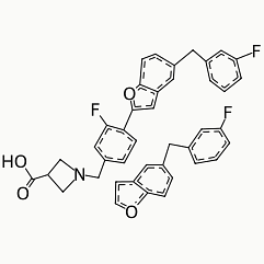 Fc1cccc(Cc2ccc3occc3c2)c1.O=C(O)C1CN(Cc2ccc(-c3cc4cc(Cc5cccc(F)c5)ccc4o3)c(F)c2)C1